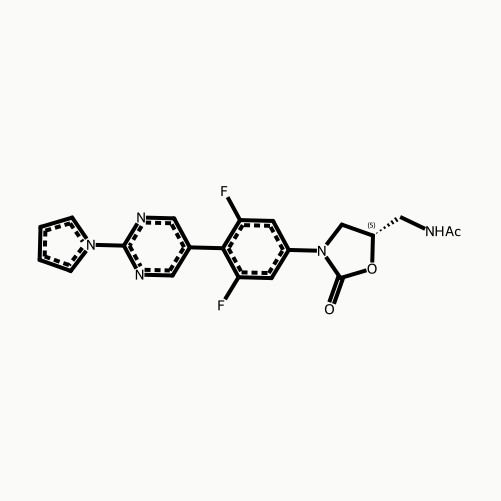 CC(=O)NC[C@H]1CN(c2cc(F)c(-c3cnc(-n4cccc4)nc3)c(F)c2)C(=O)O1